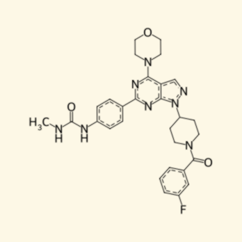 CNC(=O)Nc1ccc(-c2nc(N3CCOCC3)c3cnn(C4CCN(C(=O)c5cccc(F)c5)CC4)c3n2)cc1